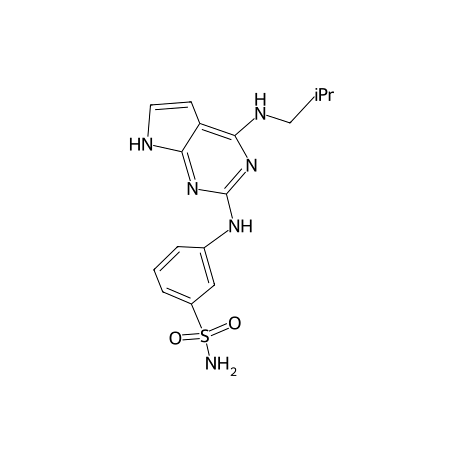 CC(C)CNc1nc(Nc2cccc(S(N)(=O)=O)c2)nc2[nH]ccc12